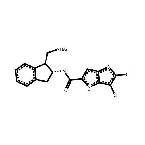 CC(=O)NC[C@@H]1c2ccccc2C[C@H]1NC(=O)c1cc2sc(Cl)c(Cl)c2[nH]1